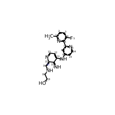 Cc1ccc(F)c(-c2cc(NC3=CC=N/C(=C/NCCO)C3=N)ccn2)n1